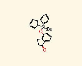 CC(C)(C)[Si](Oc1cccc2c1CCC2=O)(c1ccccc1)c1ccccc1